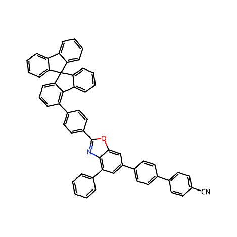 N#Cc1ccc(-c2ccc(-c3cc(-c4ccccc4)c4nc(-c5ccc(-c6cccc7c6-c6ccccc6C76c7ccccc7-c7ccccc76)cc5)oc4c3)cc2)cc1